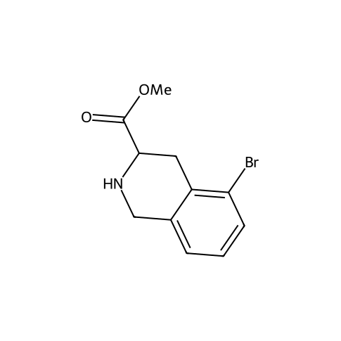 COC(=O)C1Cc2c(Br)cccc2CN1